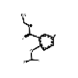 N#CCNC(=O)c1cc(F)ccc1OC(F)F